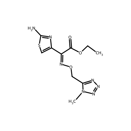 CCOC(=O)C(=NOCc1nnnn1C)c1csc(N)n1